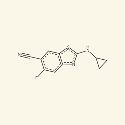 N#Cc1cc2sc(NC3CC3)nc2cc1F